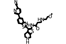 COCCNCCC(=O)Nc1sc2c(c1-c1nc3cc(-c4ccc(C#N)nc4)ccc3s1)CCNC2